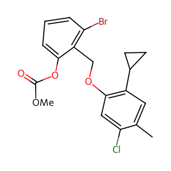 COC(=O)Oc1cccc(Br)c1COc1cc(Cl)c(C)cc1C1CC1